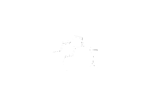 COc1cc2c(ccn2C2CC2N(C)C)cc1C